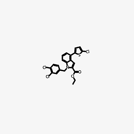 CCOC(=O)c1cc2c(-c3ccc(Cl)s3)cccc2n1Cc1ccc(Cl)c(Cl)c1